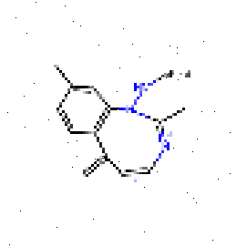 C=C1/C=C\N=C(\C)N(NCCCCC)c2cc(C)ccc21